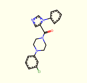 O=C(c1cncn1-c1ccccc1)N1CCN(c2cccc(Cl)c2)CC1